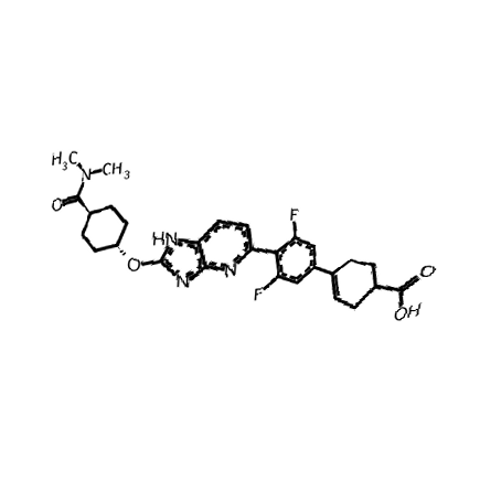 CN(C)C(=O)[C@H]1CC[C@H](Oc2nc3nc(-c4c(F)cc(C5=CCC(C(=O)O)CC5)cc4F)ccc3[nH]2)CC1